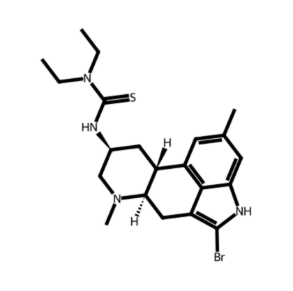 CCN(CC)C(=S)N[C@H]1C[C@@H]2c3cc(C)cc4[nH]c(Br)c(c34)C[C@H]2N(C)C1